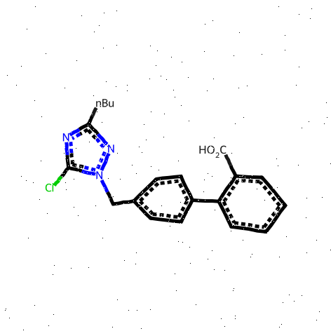 CCCCc1nc(Cl)n(Cc2ccc(-c3ccccc3C(=O)O)cc2)n1